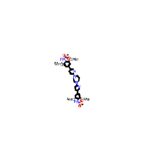 COc1cc(-c2ccc(N3CCCN(c4ccc(-c5cc(OC)c(NS(C)(=O)=O)c(OC)c5)cn4)CC3)nc2)cc(OC)c1NS(C)(=O)=O